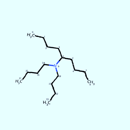 CCCCC(CCCC)N(CCCC)CCCC